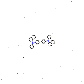 C1=CC(N(c2ccc(-c3ccc(N(c4ccccc4)c4cccc5c4C=CCC5)cc3)cc2)C2CC=CC3=C2C=CCC3)=CCC1